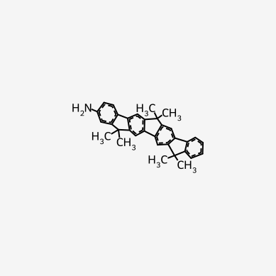 CC1(C)c2ccccc2-c2cc3c(cc21)-c1cc2c(cc1C3(C)C)-c1ccc(N)cc1C2(C)C